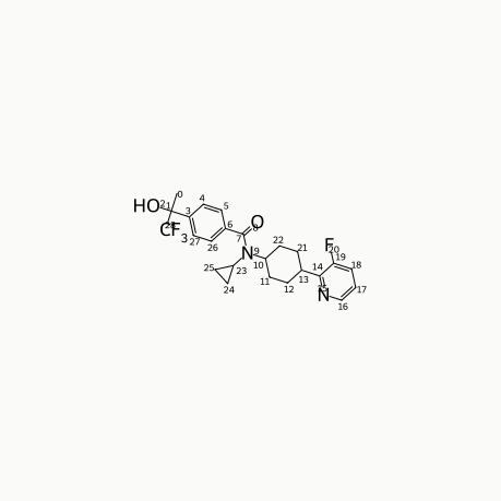 CC(O)(c1ccc(C(=O)N(C2CCC(c3ncccc3F)CC2)C2CC2)cc1)C(F)(F)F